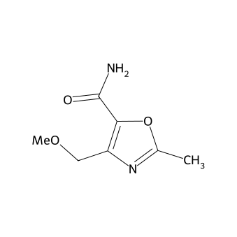 COCc1nc(C)oc1C(N)=O